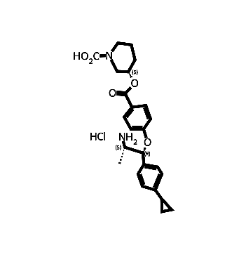 C[C@H](N)[C@H](Oc1ccc(C(=O)O[C@H]2CCCN(C(=O)O)C2)cc1)c1ccc(C2CC2)cc1.Cl